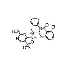 C[C@H](Nc1nc(N)ncc1S(C)(=O)=O)c1nc2cccc(Cl)c2c(=O)n1-c1ccccc1